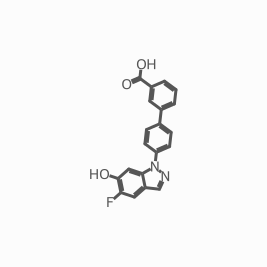 O=C(O)c1cccc(-c2ccc(-n3ncc4cc(F)c(O)cc43)cc2)c1